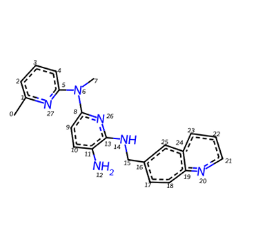 Cc1cccc(N(C)c2ccc(N)c(NCc3ccc4ncccc4c3)n2)n1